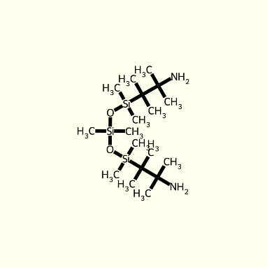 CC(C)(N)C(C)(C)[Si](C)(C)O[Si](C)(C)O[Si](C)(C)C(C)(C)C(C)(C)N